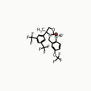 C[C@]1(c2cc(C(F)(F)F)cc(C(F)(F)F)c2)COC(=O)N1Cc1cc(OC(F)(F)F)ccc1[N+](=O)[O-]